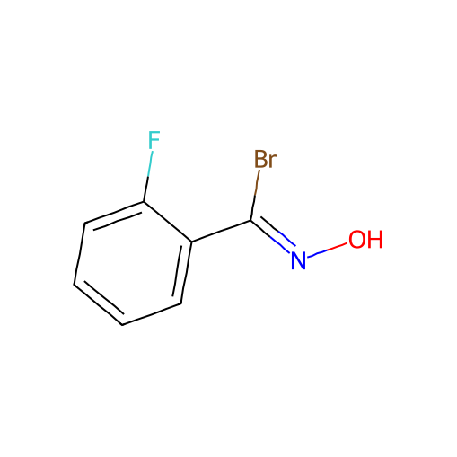 ON=C(Br)c1ccccc1F